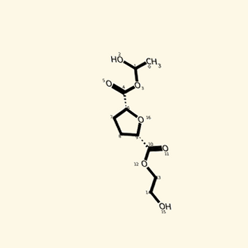 CC(O)OC(=O)[C@H]1CC[C@@H](C(=O)OCCO)O1